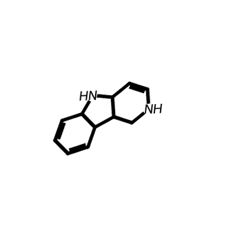 C1=CC2NC3C=CNCC3C2C=C1